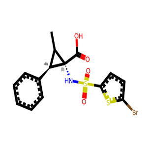 CC1[C@H](c2ccccc2)[C@]1(NS(=O)(=O)c1ccc(Br)s1)C(=O)O